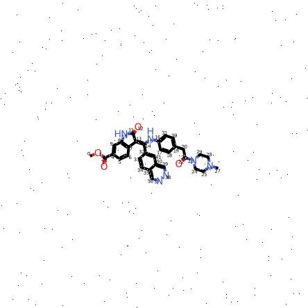 COC(=O)c1ccc2c(c1)NC(=O)/C2=C(\Nc1ccc(CC(=O)N2CCN(C)CC2)cc1)c1ccc2cnncc2c1